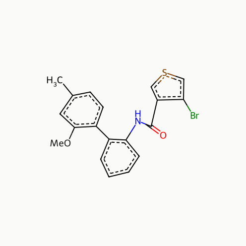 COc1cc(C)ccc1-c1ccccc1NC(=O)c1cscc1Br